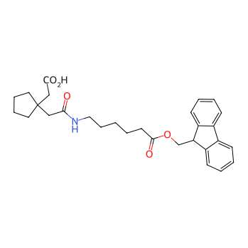 O=C(O)CC1(CC(=O)NCCCCCC(=O)OCC2c3ccccc3-c3ccccc32)CCCC1